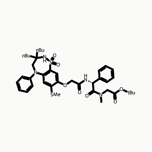 CCCCC1(CCCC)CN(c2ccccc2)c2cc(SC)c(OCC(=O)N[C@@H](C(=O)N(C)CC(=O)OC(C)(C)C)c3ccccc3)cc2S(=O)(=O)N1